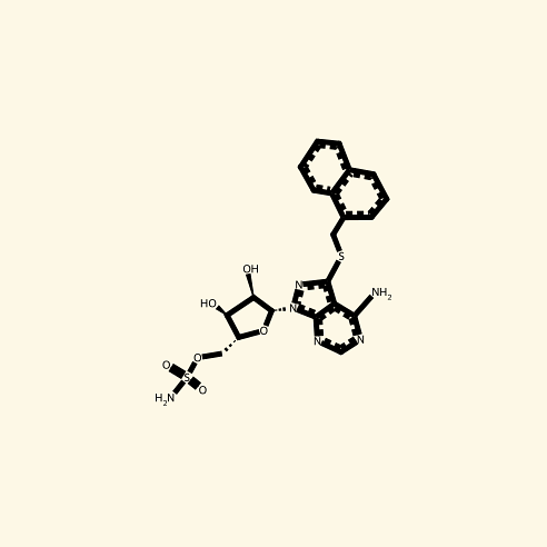 Nc1ncnc2c1c(SCc1cccc3ccccc13)nn2[C@@H]1O[C@H](COS(N)(=O)=O)[C@@H](O)[C@H]1O